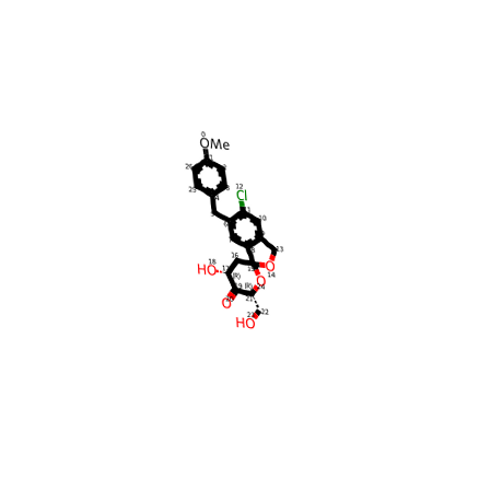 COc1ccc(Cc2cc3c(cc2Cl)COC32C[C@@H](O)C(=O)[C@@H](CO)O2)cc1